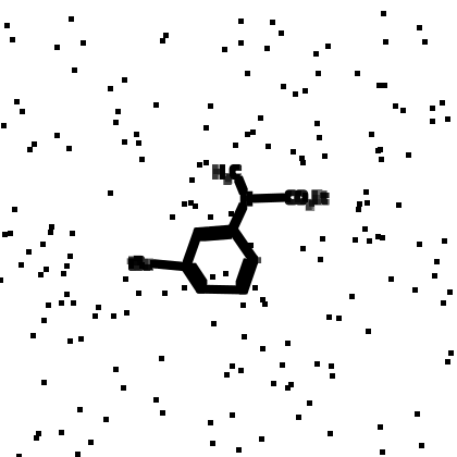 CCOC(=O)N(C)c1[c]ccc(C(C)(C)C)c1